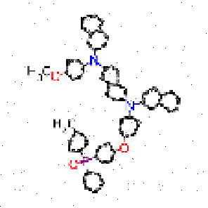 COc1ccc(N(c2ccc3ccccc3c2)c2ccc3cc(N(c4ccc(Oc5ccc(P(=O)(c6ccccc6)c6ccc(C)cc6)cc5)cc4)c4ccc5ccccc5c4)ccc3c2)cc1